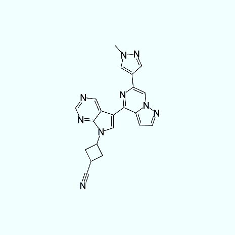 Cn1cc(-c2cn3nccc3c(-c3cn(C4CC(C#N)C4)c4ncncc34)n2)cn1